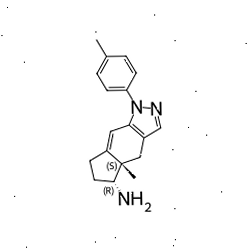 Cc1ccc(-n2ncc3c2C=C2CC[C@@H](N)[C@@]2(C)C3)cc1